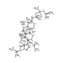 C=C(O)CC(C)(C)CC(=O)O[C@H]1CC[C@]2(C)[C@H]3CC[C@@H]4[C@H]5[C@H](C(=C)C)CC[C@]5(CCN(C)C)CC[C@@]4(C)[C@]3(C)CC[C@H]2C1(C)C